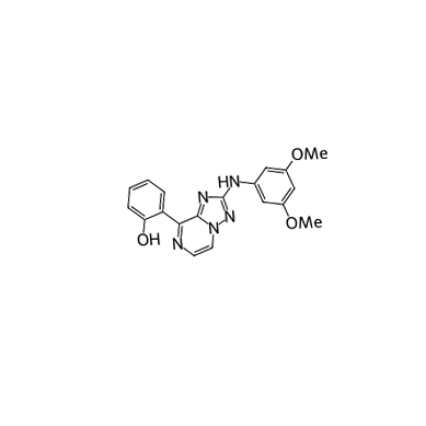 COc1cc(Nc2nc3c(-c4ccccc4O)nccn3n2)cc(OC)c1